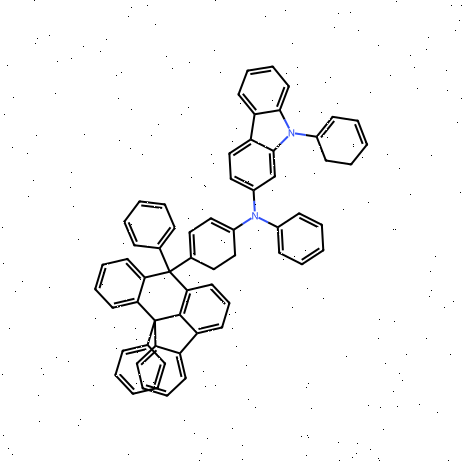 C1=CCCC(n2c3ccccc3c3ccc(N(C4=CC=C(C5(c6ccccc6)c6ccccc6C6(c7ccccc7)c7ccccc7-c7cccc5c76)CC4)c4ccccc4)cc32)=C1